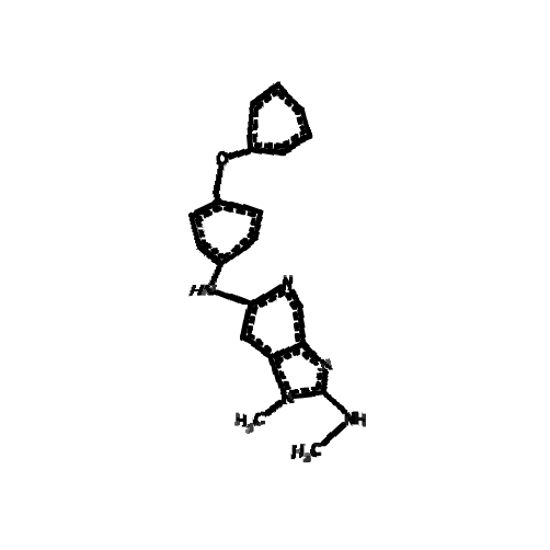 CNc1nc2cnc(Nc3ccc(Oc4ccccc4)cc3)cc2n1C